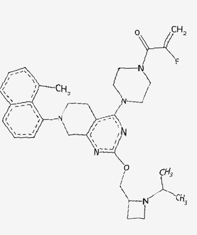 C=C(F)C(=O)N1CCN(c2nc(OCC3CCN3C(C)C)nc3c2CCN(c2cccc4cccc(C)c24)C3)CC1